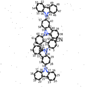 N#Cc1ccc(-n2c3ccccc3c3cc(-n4c5ccccc5c5ccccc54)ccc32)c(-c2c(-n3c4ccccc4c4cc(-n5c6ccccc6c6ccccc65)ccc43)cccc2C(F)(F)F)c1